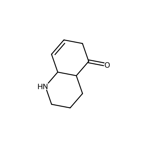 O=C1CC=CC2NCCCC12